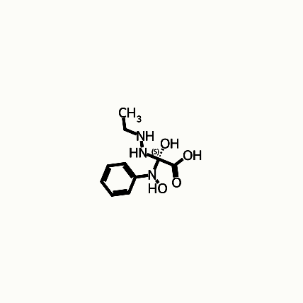 CCNN[C@@](O)(C(=O)O)N(O)c1ccccc1